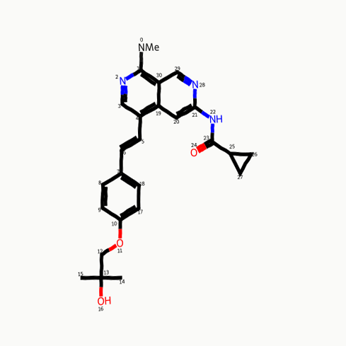 CNc1ncc(C=Cc2ccc(OCC(C)(C)O)cc2)c2cc(NC(=O)C3CC3)ncc12